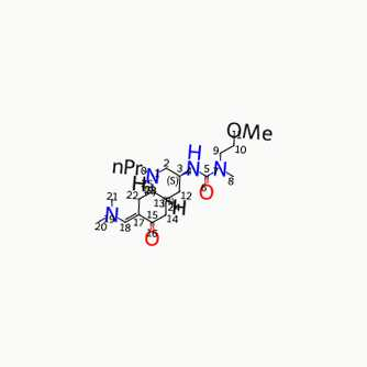 CCCN1C[C@@H](NC(=O)N(C)CCOC)C[C@@H]2CC(=O)C(=CN(C)C)C[C@H]21